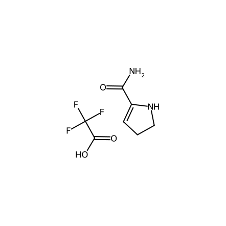 NC(=O)C1=CCCN1.O=C(O)C(F)(F)F